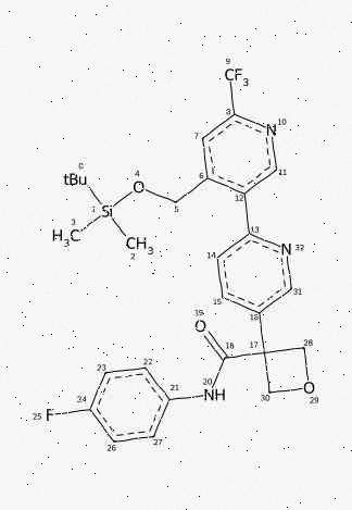 CC(C)(C)[Si](C)(C)OCc1cc(C(F)(F)F)ncc1-c1ccc(C2(C(=O)Nc3ccc(F)cc3)COC2)cn1